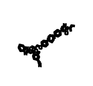 CCC(C)n1ncn(-c2ccc(N3CCN(c4ccc(OC[C@@H]5CO[C@@](Cn6nc7ccccc7n6)(c6ccc(C#N)cc6C)O5)cc4)CC3)cc2)c1=O